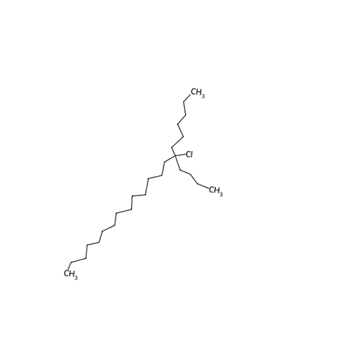 CCCCCCCCCCCCCCC(Cl)(CCCC)CCCCCC